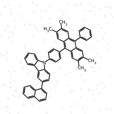 Cc1cc2c(-c3ccccc3)c3cc(C)c(C)cc3c(-c3ccc(-n4c5ccccc5c5cc(-c6cccc7ccccc67)ccc54)cc3)c2cc1C